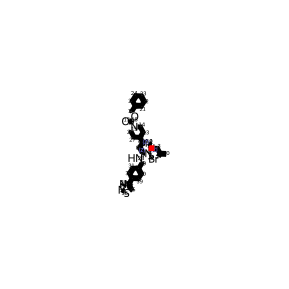 C=C(Br)/C=N\N(C)/C(=C\C(=N/C)C1CCN(C(=O)OCc2ccccc2)CC1)NCc1ccc(-c2csnn2)cc1